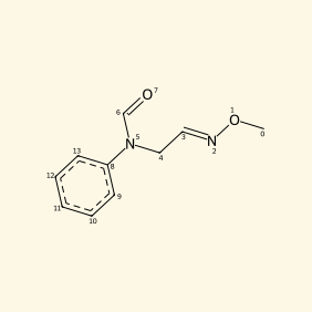 CON=CCN([C]=O)c1ccccc1